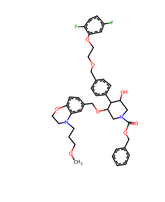 COCCCN1CCOc2ccc(COC3CN(C(=O)OCc4ccccc4)CC(O)C3c3ccc(COCCOc4cc(F)ccc4F)cc3)cc21